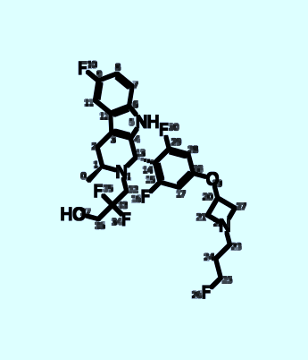 C[C@H]1Cc2c([nH]c3ccc(F)cc23)[C@H](c2c(F)cc(OC3CN(CCCF)C3)cc2F)N1CC(F)(F)CO